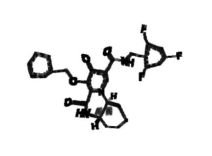 O=C(NCc1c(F)cc(F)cc1F)c1cn2c(c(OCc3ccccc3)c1=O)C(=O)N[C@H]1CCCC[C@@H]12